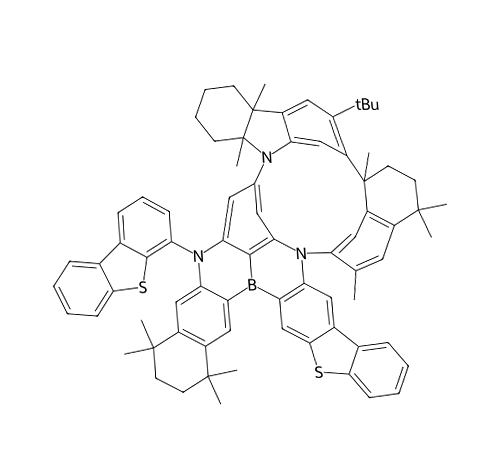 Cc1cc2c3cc1N1c4cc5c(cc4B4c6cc7c(cc6N(c6cccc8c6sc6ccccc68)c6cc(cc1c64)N1c4cc(c(C(C)(C)C)cc4C4(C)CCCCC14C)C3(C)CCC2(C)C)C(C)(C)CCC7(C)C)sc1ccccc15